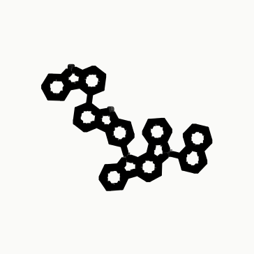 c1ccc2c(-n3c4ccccc4c4c3ccc3c5ccccc5n(-c5ccc6oc7c(-c8cccc9oc%10ccccc%10c89)cccc7c6c5)c34)cccc2c1